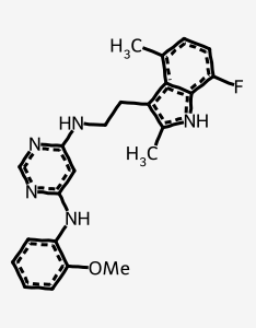 COc1ccccc1Nc1cc(NCCc2c(C)[nH]c3c(F)ccc(C)c23)ncn1